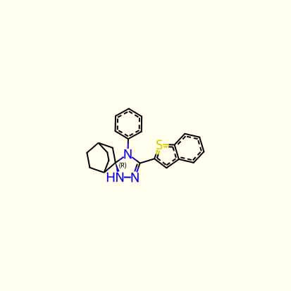 c1ccc(N2C(c3cc4ccccc4s3)=NN[C@@]23CC2CCC3CC2)cc1